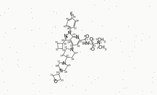 CN(C)S(=O)(=O)NC(=O)c1cc(N2CCC(N3CCN(C4COC4)CC3)CC2)c2c(C3CCC3)nn(-c3ccc(F)cc3)c2n1